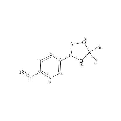 C=Cc1ccc(C2COC(C)(C)O2)cn1